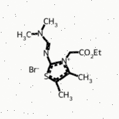 CCOC(=O)C[n+]1c(/N=C/N(C)C)sc(C)c1C.[Br-]